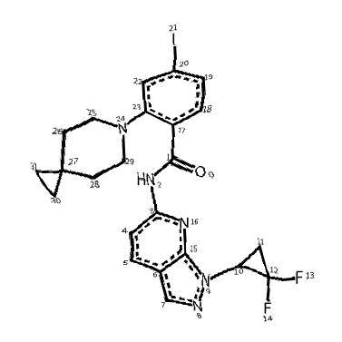 O=C(Nc1ccc2cnn(C3CC3(F)F)c2n1)c1ccc(I)cc1N1CCC2(CC1)CC2